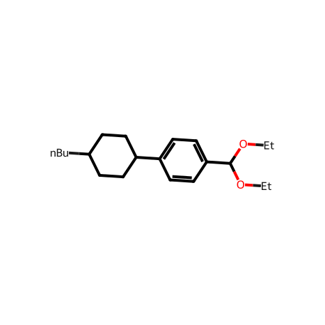 CCCCC1CCC(c2ccc(C(OCC)OCC)cc2)CC1